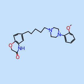 COc1ccccc1N1CCN(CCCCCc2ccc3c(c2)NC(=O)CO3)CC1